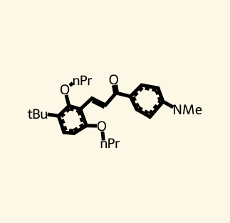 CCCOc1ccc(C(C)(C)C)c(OCCC)c1C=CC(=O)c1ccc(NC)cc1